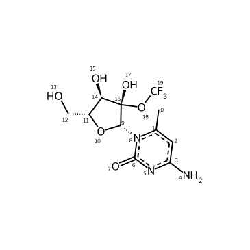 Cc1cc(N)nc(=O)n1[C@@H]1O[C@H](CO)[C@@H](O)[C@]1(O)OC(F)(F)F